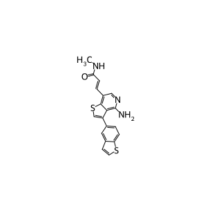 CNC(=O)/C=C/c1cnc(N)c2c(-c3ccc4sccc4c3)csc12